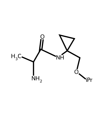 CC(C)OCC1(NC(=O)C(C)N)CC1